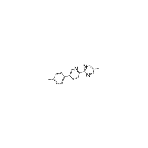 Cc1ccc(-c2ccc(-c3ncc(C)cn3)nc2)cc1